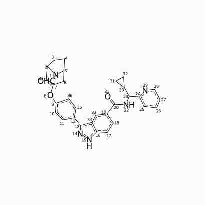 O=CN1C2CCC1CC(Oc1ccc(-c3n[nH]c4ccc(C(=O)NC(c5ccccn5)C5CC5)cc34)cc1)C2